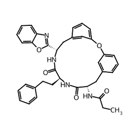 CCC(=O)N[C@H]1Cc2cccc(c2)Oc2cccc(c2)C[C@@H](c2nc3ccccc3o2)NC(=O)[C@H](CCc2ccccc2)NC1=O